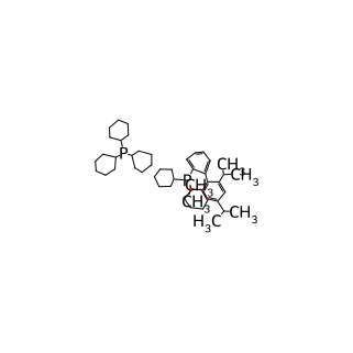 C1CCC(P(C2CCCCC2)C2CCCCC2)CC1.CC(C)c1cc(C(C)C)c(-c2ccccc2P(C2CCCCC2)C2CCCCC2)c(C(C)C)c1